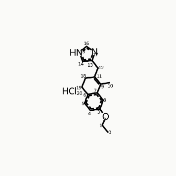 CCOc1ccc2c(c1)C(C)=C(Cc1c[nH]cn1)CC2.Cl